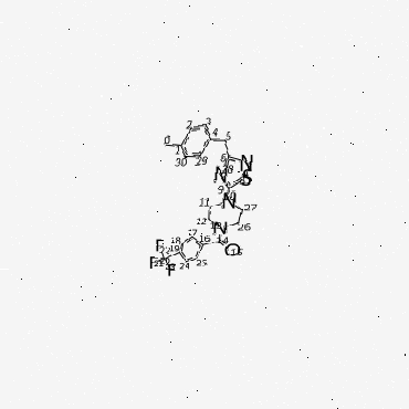 Cc1ccc(Cc2nsc(N3CCN(C(=O)c4ccc(C(F)(F)F)cc4)CC3)n2)cc1